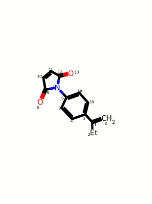 C=C(CC)c1ccc(N2C(=O)C=CC2=O)cc1